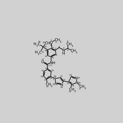 COc1c(CNC(C)C)cc(NC(=O)c2ccc(C)c(-n3cc(-c4cnn(C)c4C)nn3)c2)cc1C(C)(C)C